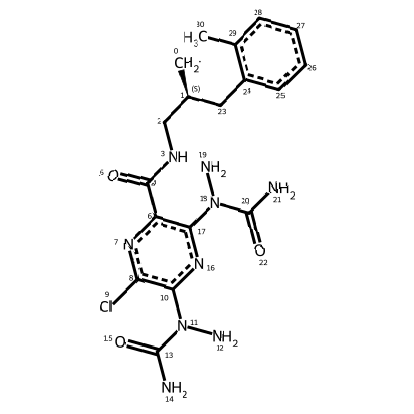 [CH2][C@H](CNC(=O)c1nc(Cl)c(N(N)C(N)=O)nc1N(N)C(N)=O)Cc1ccccc1C